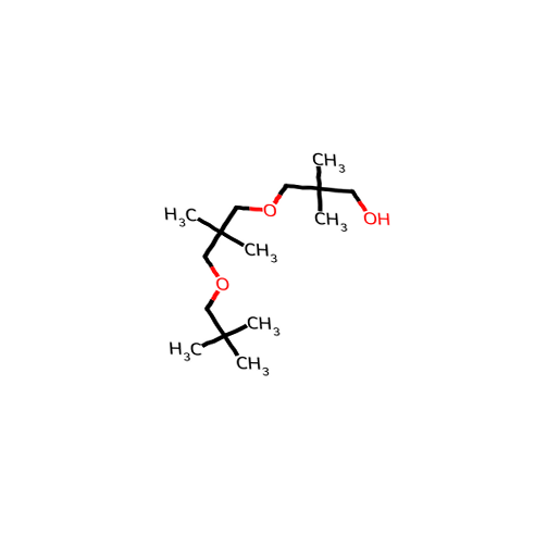 CC(C)(C)COCC(C)(C)COCC(C)(C)CO